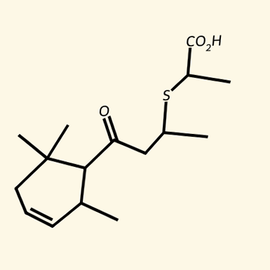 CC(CC(=O)C1C(C)C=CCC1(C)C)SC(C)C(=O)O